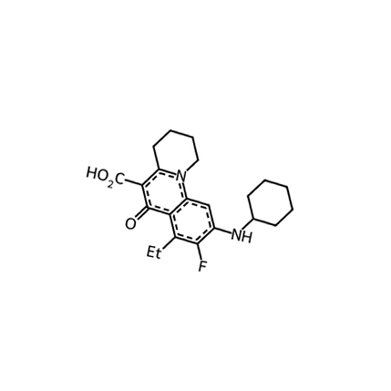 CCc1c(F)c(NC2CCCCC2)cc2c1c(=O)c(C(=O)O)c1n2CCCC1